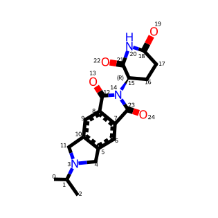 CC(C)N1Cc2cc3c(cc2C1)C(=O)N([C@@H]1CCC(=O)NC1=O)C3=O